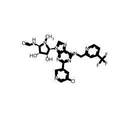 CN1[C@H](NC=O)[C@@H](O)[C@@H](O)[C@@H]1n1cnc2c(NCc3cc(C(F)(F)F)ccn3)nc(-c3cncc(Cl)c3)nc21